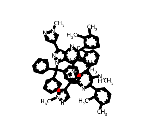 CNc1c(-c2cccc(C)c2C)nc2c(-c3cnn(C)c3)nn(-c3c(NC)c(-c4cccc(C)c4C)nc4c(-c5cnn(C)c5)nn(C(c5ccccc5)(c5ccccc5)c5ccccc5)c34)c2c1-c1cccc(C)c1C